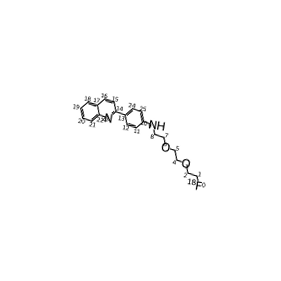 [18F]CCOCCOCCNc1ccc(-c2ccc3ccccc3n2)cc1